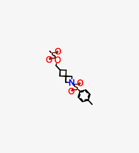 Cc1ccc(S(=O)(=O)N2CC3(CC(COS(C)(=O)=O)C3)C2)cc1